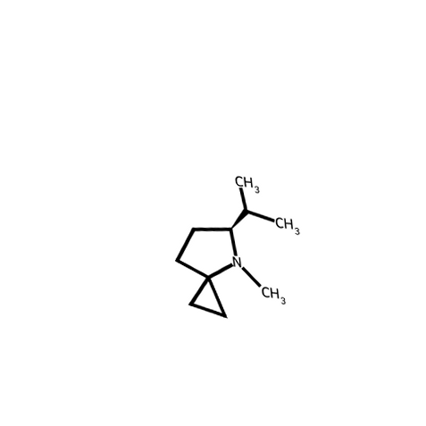 CC(C)[C@@H]1CCC2(CC2)N1C